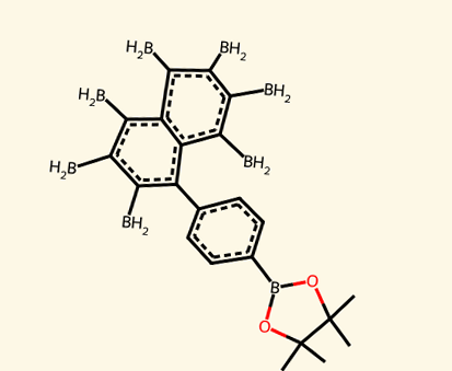 Bc1c(B)c(B)c2c(-c3ccc(B4OC(C)(C)C(C)(C)O4)cc3)c(B)c(B)c(B)c2c1B